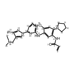 C=CC(=O)Nc1cc(Nc2nccc(-n3cc(CN(C)C)c(C(C)C)n3)n2)c(OC)cc1N1CCCC1